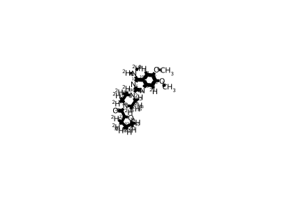 [2H]c1c(OC)c(OC)c([2H])c2c(N([2H])[2H])nc(N3C([2H])([2H])C([2H])([2H])N(C(=O)C4OC([2H])([2H])C([2H])([2H])C4([2H])[2H])C([2H])([2H])C3([2H])[2H])nc12